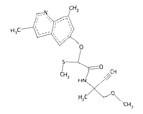 C#CC(C)(COC)NC(=O)C(Oc1cc(C)c2ncc(C)cc2c1)SC